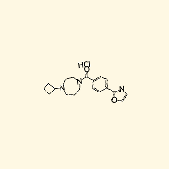 Cl.O=C(c1ccc(-c2ncco2)cc1)N1CCCN(C2CCC2)CC1